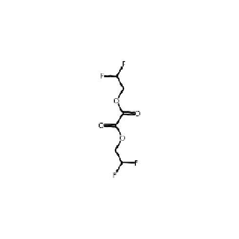 O=C(OCC(F)F)C(=O)OCC(F)F